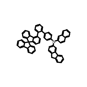 c1ccc2c(c1)Cc1ccc(N(c3ccc(-c4ccccc4-c4cccc5c4-c4ccccc4C54c5ccccc5-c5ccccc54)cc3)c3ccc4ccccc4c3)cc1-2